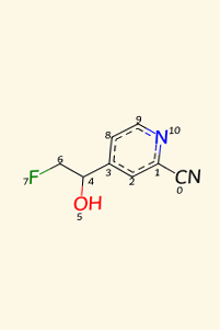 N#Cc1cc(C(O)CF)ccn1